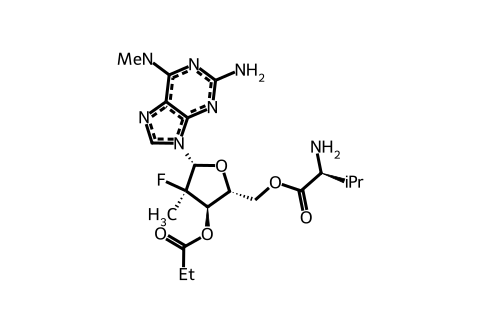 CCC(=O)O[C@@H]1[C@@H](COC(=O)[C@@H](N)C(C)C)O[C@@H](n2cnc3c(NC)nc(N)nc32)[C@]1(C)F